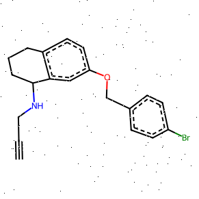 C#CCNC1CCCc2ccc(OCc3ccc(Br)cc3)cc21